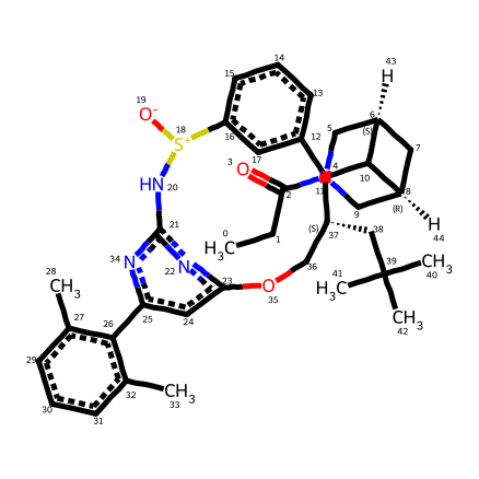 CCC(=O)N1C[C@H]2C[C@@H](C1)C2C1c2cccc(c2)[S+]([O-])Nc2nc(cc(-c3c(C)cccc3C)n2)OC[C@H]1CC(C)(C)C